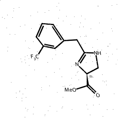 COC(=O)[C@@H]1CNC(Cc2cccc(C(F)(F)F)c2)=N1